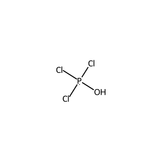 O[P](Cl)(Cl)Cl